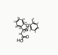 Cc1ccccc1.O=C(O)Cc1noc2ccccc12